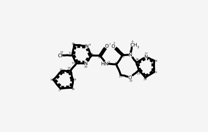 CN1C(=O)C(NC(=O)c2ncc(Cl)c(-c3ccccc3)n2)COc2cccnc21